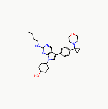 CCCCNc1ncc2c(-c3ccc(C4(N5CCOCC5)CC4)cc3)cn([C@H]3CC[C@H](O)CC3)c2n1